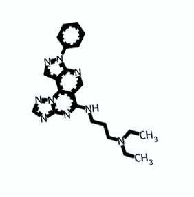 CCN(CC)CCCNc1nc2ncnn2c2c1cnc1c2cnn1-c1ccccc1